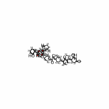 CN(C(=O)N1CCC(Oc2cc(N3[C@@H]4CC[C@H]3CN(c3cc(-c5ccccc5O)nnc3N)C4)cc(F)c2F)CC1)C1CCN(c2cccc3c2OCCN3C2CCC(=O)NC2=O)CC1